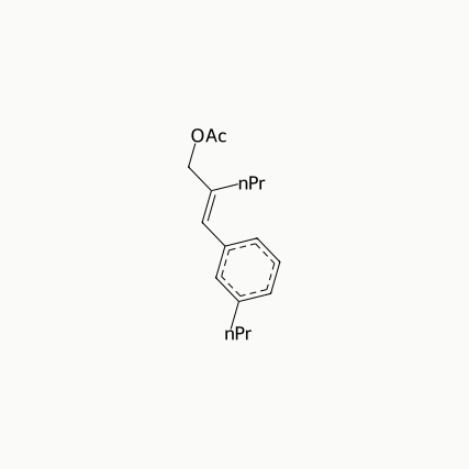 CCC/C(=C\c1cccc(CCC)c1)COC(C)=O